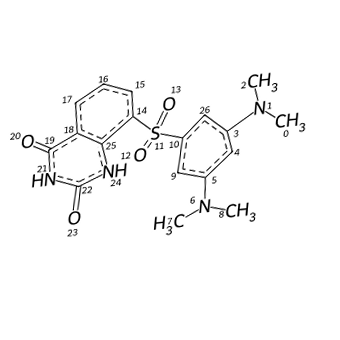 CN(C)c1cc(N(C)C)cc(S(=O)(=O)c2cccc3c(=O)[nH]c(=O)[nH]c23)c1